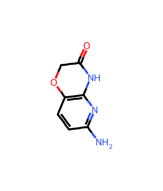 Nc1ccc2c(n1)NC(=O)CO2